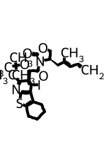 C=C/C=C(\C)C[C@@H]1COC(=O)N1C(=O)[C@@H](OC(C)(C)C)c1c(C)nc2sc3c(c2c1I)CCCC3